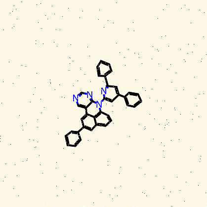 c1ccc(-c2cc(-c3ccccc3)nc(N3c4ncncc4-c4cc(-c5ccccc5)cc5cccc3c45)c2)cc1